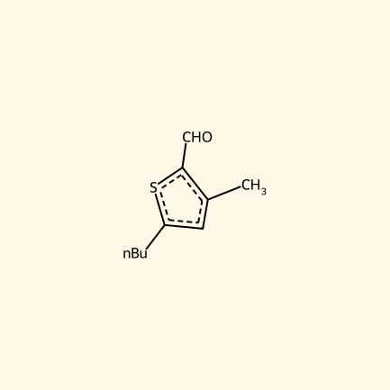 CCCCc1cc(C)c(C=O)s1